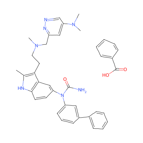 Cc1[nH]c2ccc(N(C(N)=O)c3cccc(-c4ccccc4)c3)cc2c1CCN(C)Cc1cc(N(C)C)cnn1.O=C(O)c1ccccc1